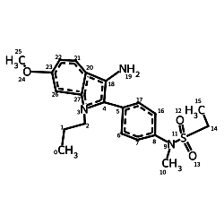 CCCn1c(-c2ccc(N(C)S(=O)(=O)CC)cc2)c(N)c2ccc(OC)cc21